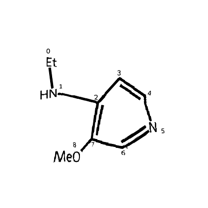 CCNc1ccn[c]c1OC